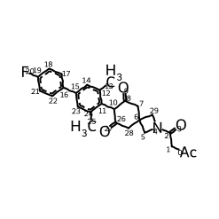 CC(=O)CC(=O)N1CC2(CC(=O)C(c3c(C)cc(-c4ccc(F)cc4)cc3C)C(=O)C2)C1